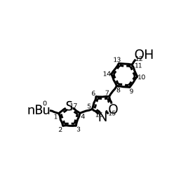 CCCCc1ccc(-c2cc(-c3ccc(O)cc3)on2)s1